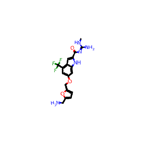 CNC(N)=NC(=O)c1cc2c(C(F)(F)F)cc(OCc3ccc(CN)o3)cc2[nH]1